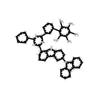 Bc1c(B)c(B)c(-c2cccc(-c3nc(-c4ccccc4)nc(-c4cccc5c4oc4ccc(-n6c7ccccc7c7ccccc76)cc45)n3)c2)c(B)c1B